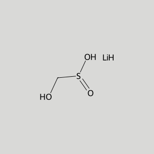 O=S(O)CO.[LiH]